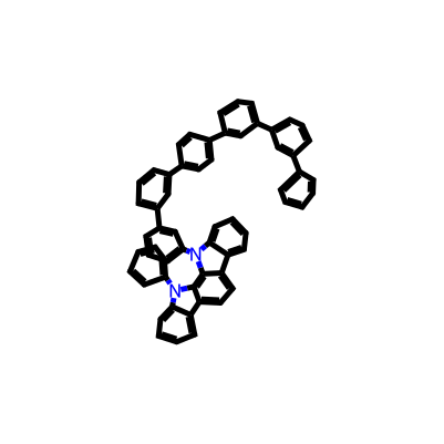 c1ccc(-c2cccc(-c3cccc(-c4ccc(-c5cccc(-c6cccc(-n7c8ccccc8c8ccc9c%10ccccc%10n(-c%10ccccc%10)c9c87)c6)c5)cc4)c3)c2)cc1